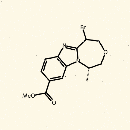 COC(=O)c1ccc2nc3n(c2c1)[C@@H](C)COCC3Br